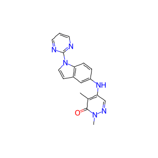 Cc1c(Nc2ccc3c(ccn3-c3ncccn3)c2)cnn(C)c1=O